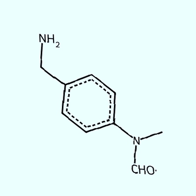 CN([C]=O)c1ccc(CN)cc1